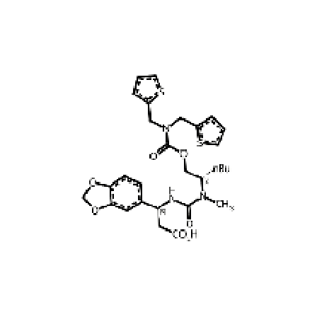 CCCC[C@@H](COC(=O)N(Cc1cccs1)Cc1cccs1)N(C)C(=O)N[C@@H](CC(=O)O)c1ccc2c(c1)OCO2